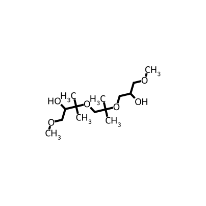 COCC(O)COC(C)(C)COC(C)(C)C(O)COC